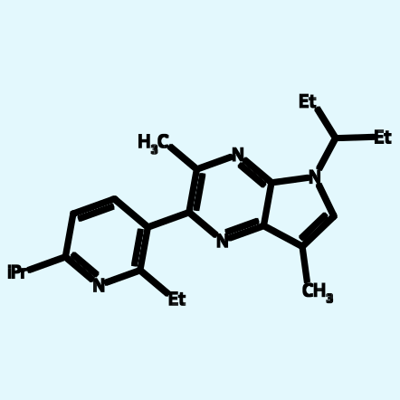 CCc1nc(C(C)C)ccc1-c1nc2c(C)cn(C(CC)CC)c2nc1C